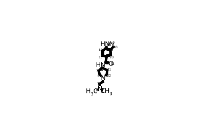 CN(C)CCN1CCC(NC(=O)c2ccc3[nH]ncc3c2)CC1